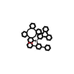 c1ccc(-c2ccc(-c3ccccc3)c(N(c3ccc4c5ccccc5c5ccccc5c4c3)c3cccc4c3Cc3ccccc3-c3ccccc3Cc3ccccc3-4)c2)cc1